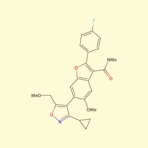 CNC(=O)c1c(-c2ccc(F)cc2)oc2cc(-c3c(C4CC4)noc3COC)c(OC)cc12